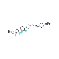 CCCC1CCC(/C=C/CCC2CCC(c3ccc(-c4ccc(OCC)c(F)c4F)c(F)c3F)CC2)CC1